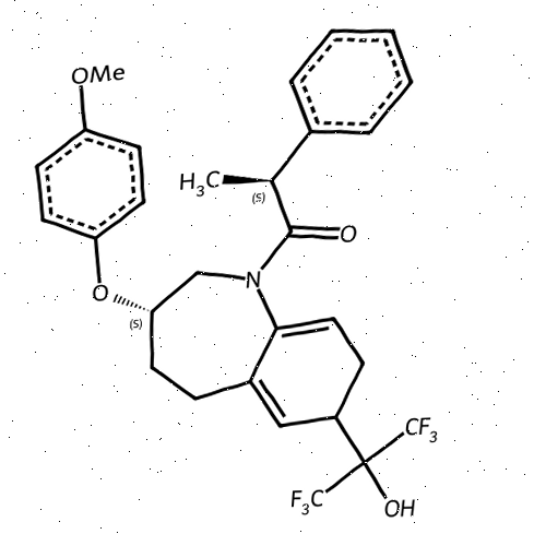 COc1ccc(O[C@H]2CCC3=CC(C(O)(C(F)(F)F)C(F)(F)F)CC=C3N(C(=O)[C@@H](C)c3ccccc3)C2)cc1